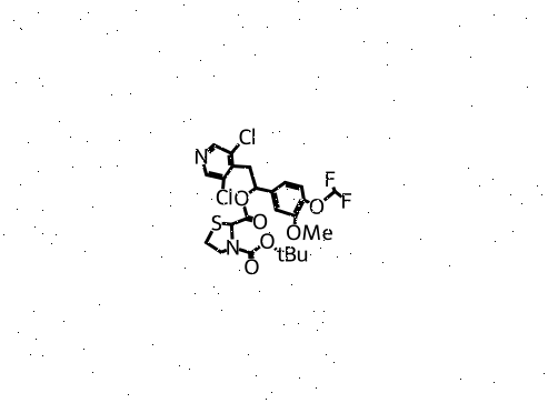 COc1cc(C(Cc2c(Cl)cncc2Cl)OC(=O)C2SCCN2C(=O)OC(C)(C)C)ccc1OC(F)F